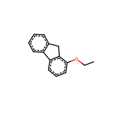 CCOc1cccc2c1Cc1ccccc1-2